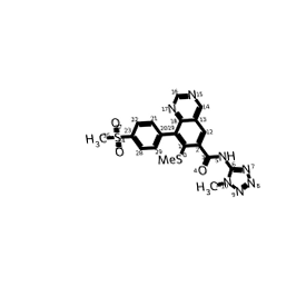 CSc1c(C(=O)Nc2nnnn2C)cc2cncnc2c1-c1ccc(S(C)(=O)=O)cc1